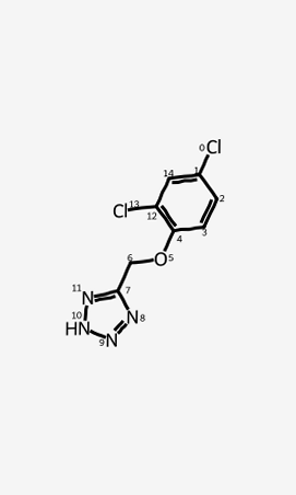 Clc1ccc(OCc2nn[nH]n2)c(Cl)c1